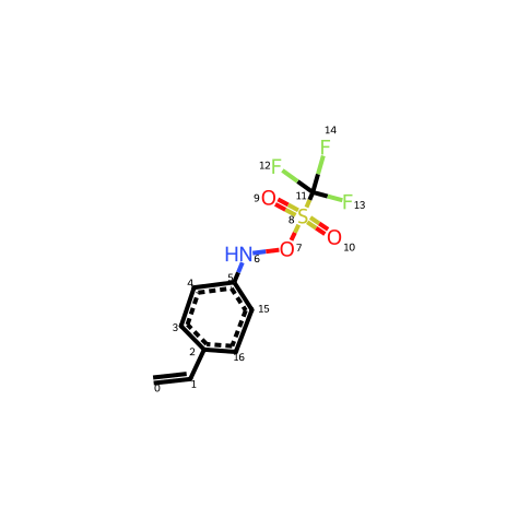 C=Cc1ccc(NOS(=O)(=O)C(F)(F)F)cc1